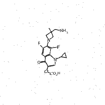 CC1(CN)CN(c2c(F)cc3c(=O)c(OC(=O)O)cn(C4CC4)c3c2F)C1